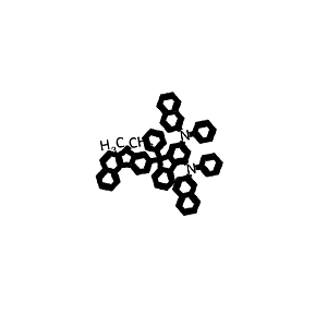 CC1(C)c2cc(C3(c4ccccc4)c4ccccc4-c4c(N(c5ccccc5)c5ccc6ccccc6c5)cc(N(c5ccccc5)c5ccc6ccccc6c5)cc43)ccc2-c2c1ccc1ccccc21